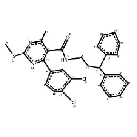 CSc1nc(C)c(C(=O)NCCC(c2ccccc2)c2ccccc2)c(-c2ccc(Cl)c(Cl)c2)n1